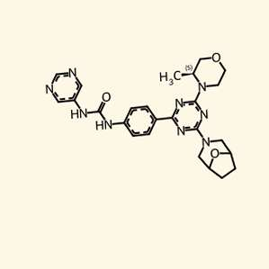 C[C@H]1COCCN1c1nc(-c2ccc(NC(=O)Nc3cncnc3)cc2)nc(N2CC3CCC(C2)O3)n1